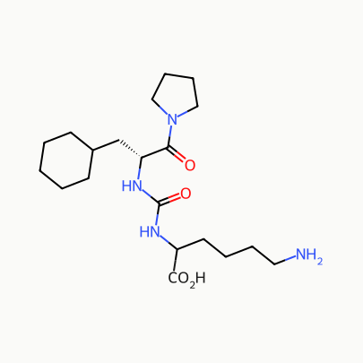 NCCCCC(NC(=O)N[C@H](CC1CCCCC1)C(=O)N1CCCC1)C(=O)O